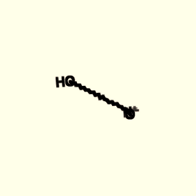 C[N+](C)([O-])CCCCCCCCCCCCCCCCCCCCCCCCO